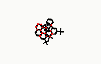 CC(C)(C)c1ccc(-c2ccccc2N(c2ccccc2-c2cc(C(C)(C)C)cc(C(C)(C)C)c2)c2ccccc2-c2cccc3cccc(C45C6CCC4CC5C6)c23)cc1